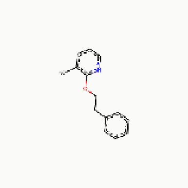 N#Cc1cccnc1OCCc1ccccc1